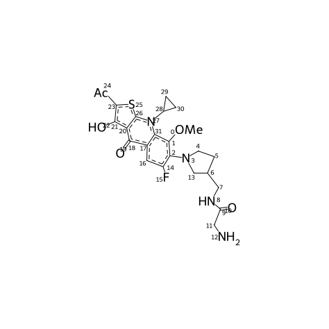 COc1c(N2CCC(CNC(=O)CN)C2)c(F)cc2c(=O)c3c(O)c(C(C)=O)sc3n(C3CC3)c12